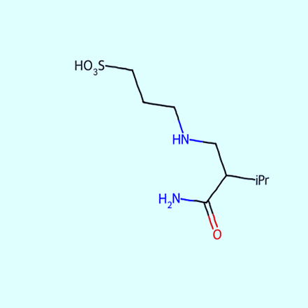 CC(C)C(CNCCCS(=O)(=O)O)C(N)=O